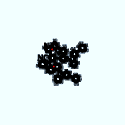 N#Cc1c(-c2ccncc2)c(-n2c3ccccc3c3ccccc32)c(-c2ccc(-n3c4ccccc4c4cc(-c5ccccc5)ccc43)cc2)c(-c2ccc(-n3c4ccccc4c4cc(-c5ccccc5)ccc43)cc2)c1-n1c2ccccc2c2ccccc21